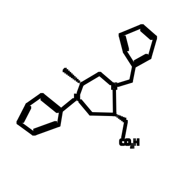 C[C@@H]1CN(Cc2ccccc2)[C@H](CC(=O)O)CN1c1ccccc1